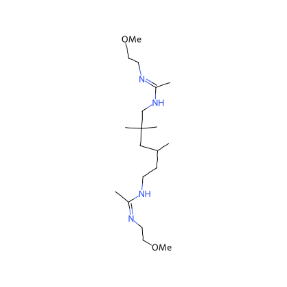 COCCN=C(C)NCCC(C)CC(C)(C)CNC(C)=NCCOC